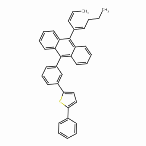 C/C=C\C(=C/CCC)c1c2ccccc2c(-c2cccc(-c3ccc(-c4ccccc4)s3)c2)c2ccccc12